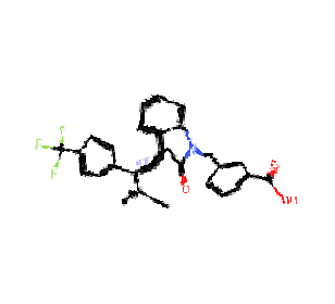 CC(C)/C(=C1\C(=O)N(Cc2cccc(C(=O)O)c2)c2ccccc21)c1ccc(C(F)(F)F)cc1